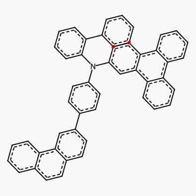 c1ccc(-c2ccccc2N(c2ccc(-c3ccc4ccc5ccccc5c4c3)cc2)c2ccc3c4ccccc4c4ccccc4c3c2)cc1